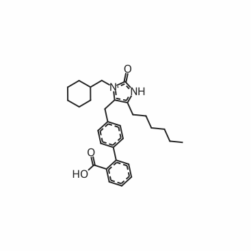 CCCCCCc1[nH]c(=O)n(CC2CCCCC2)c1Cc1ccc(-c2ccccc2C(=O)O)cc1